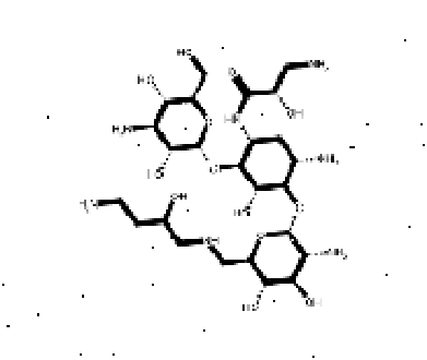 NCCC(O)CNC[C@H]1O[C@H](OC2[C@@H](N)C[C@@H](NC(=O)[C@@H](O)CN)[C@H](O[C@H]3O[C@H](CO)[C@@H](O)[C@H](N)[C@H]3O)[C@H]2O)[C@H](N)[C@@H](O)[C@@H]1O